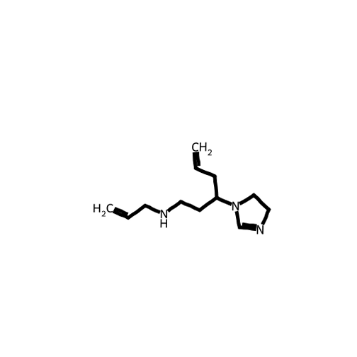 C=CCNCCC(CC=C)N1C=NCC1